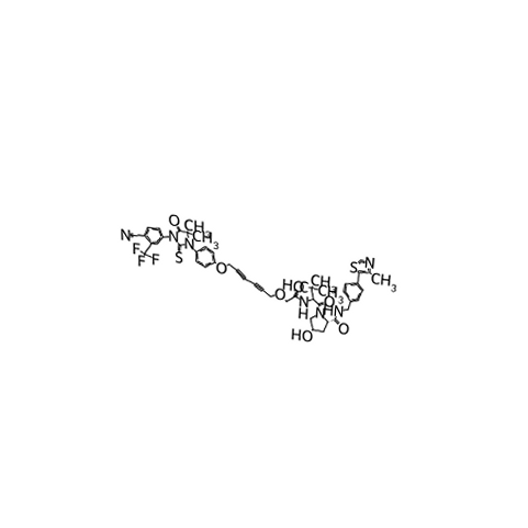 Cc1ncsc1-c1ccc(CNC(=O)[C@@H]2C[C@@H](O)CN2C(=O)[C@@H](NC(=O)COCC#CC#CCOc2ccc(N3C(=S)N(c4ccc(C#N)c(C(F)(F)F)c4)C(=O)C3(C)C)cc2)C(C)(C)C)cc1